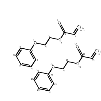 C=CC(=O)OCCOc1ccccc1.C=CC(=O)OCCOc1ccccc1